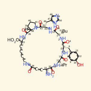 CC[C@H](C)[C@@H]1NC(=O)[C@H](Cc2ccc(O)cc2)NC(=O)[C@H](C(C)C)NC(=O)[C@@H](N)CCC(=O)NCCCC[C@@H](C(=O)O)NC(=O)[C@@H]2CCCN2C(=O)[C@H](Cc2cnc[nH]2)NC1=O